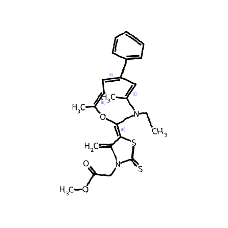 C=c1/c(=C2\O/C(C)=C/C=C(c3ccccc3)\C=C(/C)N2CC)sc(=S)n1CC(=O)OC